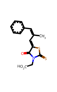 CC(=Cc1ccccc1)C=C1SC(=S)N(CC(=O)O)C1=O